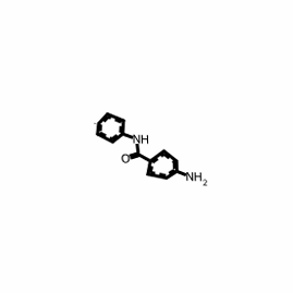 Nc1ccc(C(=O)Nc2cc[c]cc2)cc1